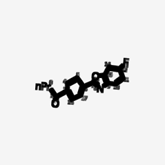 CCCC(=O)c1ccc(-c2nc3ccc(F)cc3o2)cc1